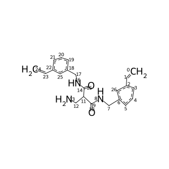 C=Cc1cccc(CNC(=O)C(CN)C(=O)NCc2cccc(C=C)c2)c1